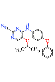 CC(C)Oc1cnc(C#N)nc1Nc1ccc(Oc2ccccc2)cc1